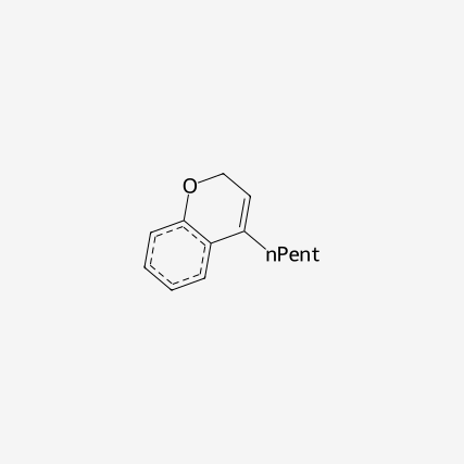 [CH2]CCCCC1=CCOc2ccccc21